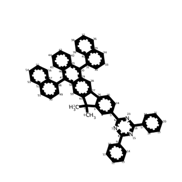 CC1(C)c2cc(-c3nc(-c4ccccc4)nc(-c4ccccc4)n3)ccc2-c2cc3c(-c4cccc5ccccc45)c4ccccc4c(-c4cccc5ccccc45)c3cc21